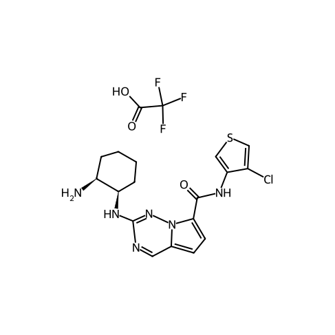 N[C@H]1CCCC[C@H]1Nc1ncc2ccc(C(=O)Nc3cscc3Cl)n2n1.O=C(O)C(F)(F)F